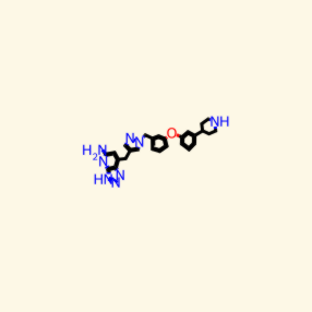 Nc1cc(Cc2cnn(Cc3cccc(Oc4cccc(C5CCNCC5)c4)c3)c2)c2nn[nH]c2n1